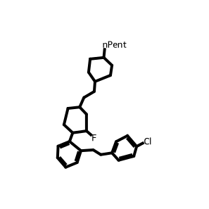 CCCCCC1CCC(CCC2CCC(c3ccccc3CCc3ccc(Cl)cc3)C(F)C2)CC1